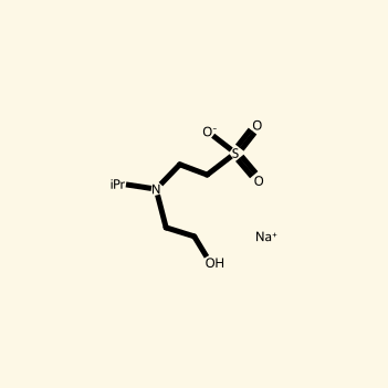 CC(C)N(CCO)CCS(=O)(=O)[O-].[Na+]